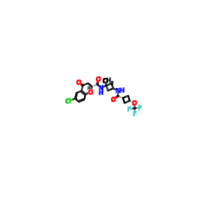 CC1(NC(=O)[C@H]2CC(=O)c3cc(Cl)ccc3O2)CC(NC(=O)[C@H]2C[C@@H](OC(F)(F)F)C2)C1